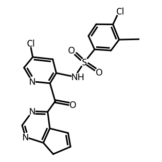 Cc1cc(S(=O)(=O)Nc2cc(Cl)cnc2C(=O)c2ncnc3c2C=CC3)ccc1Cl